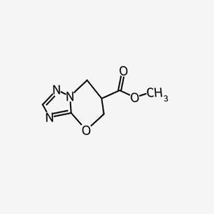 COC(=O)C1COc2ncnn2C1